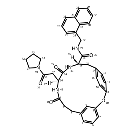 O=C1CCc2cccc(c2)Oc2ccc(cc2)C[C@@H](C(=O)NCc2cccc3ccccc23)NC(=O)[C@H](CC(=O)N2CCCC2)N1